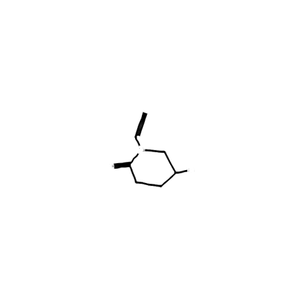 C=CN1CC(CC)CCC1=O